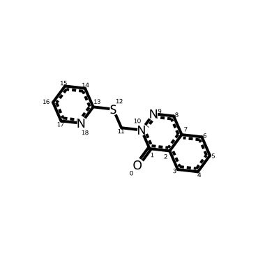 O=c1c2ccccc2cnn1CSc1ccccn1